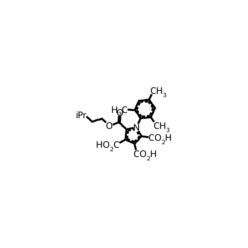 Cc1cc(C)c(-n2c(C(=O)O)c(C(=O)O)c(C(=O)O)c2C(=O)OCCC(C)C)c(C)c1